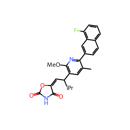 COc1nc(-c2ccc3cccc(F)c3c2)c(C)cc1C(/C=C1/OC(=O)NC1=O)C(C)C